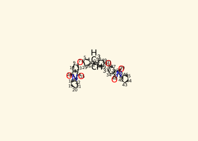 CC(C)(c1ccc(Oc2ccc3c(c2)C(=O)N(c2ccccc2)C3=O)cc1)c1ccc(Oc2ccc3c(c2)C(=O)N(c2ccccc2)C3=O)cc1